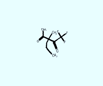 CCC(C)(C(=O)O)C(=O)C(F)(F)F